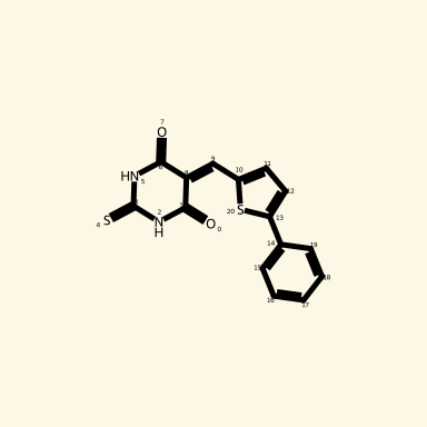 O=C1NC(=S)NC(=O)C1=Cc1ccc(-c2ccccc2)s1